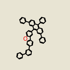 c1ccc(-c2cccc(-c3ccc4c(c3)oc3ccc(-c5c6cc(-c7ccccc7)ccc6c(-c6ccccc6)c6ccc(-c7ccccc7)cc56)cc34)c2)cc1